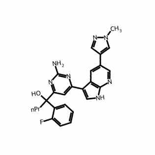 CCCC(O)(c1cc(-c2c[nH]c3ncc(-c4cnn(C)c4)cc23)nc(N)n1)c1ccccc1F